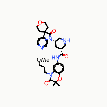 COCCCN1C(=O)C(C)(C)Oc2ccc(NC(=O)[C@H]3CNC[C@@H](NC(=O)C4(c5ccncc5)CCOCC4)C3)cc21